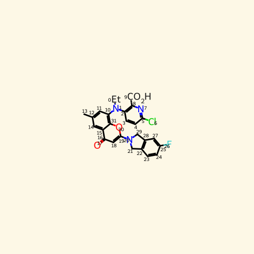 CCN(c1ccc(Cl)nc1C(=O)O)c1cc(C)cc2c(=O)cc(N3Cc4ccc(F)cc4C3)oc12